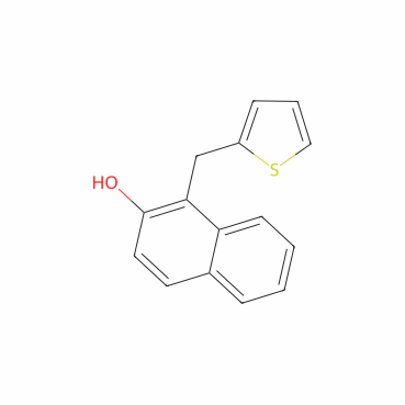 Oc1ccc2ccccc2c1Cc1cccs1